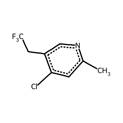 Cc1cc(Cl)c(CC(F)(F)F)cn1